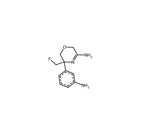 NC1=NC(CF)(c2cccc(N)c2)COC1